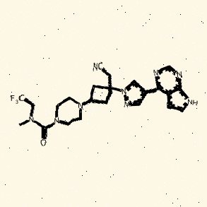 CN(CC(F)(F)F)C(=O)N1CCN(C2CC(CC#N)(n3cc(-c4ncnc5[nH]ccc45)cn3)C2)CC1